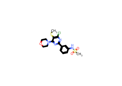 CSc1c(Cl)nc(-c2cccc(NS(C)(=O)=O)c2)nc1N1CCOCC1